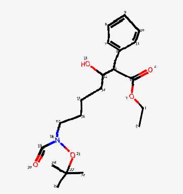 CCOC(=O)C(c1ccccc1)C(O)CCCCN(C=O)OC(C)(C)C